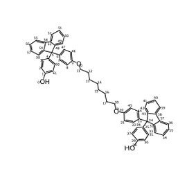 Oc1ccc(C2(c3ccc(OCCCCCCCCOc4ccc(C5(c6ccc(O)cc6)c6ccccc6-c6ccccc65)cc4)cc3)c3ccccc3-c3ccccc32)cc1